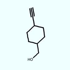 C#CC1CCC(CO)CC1